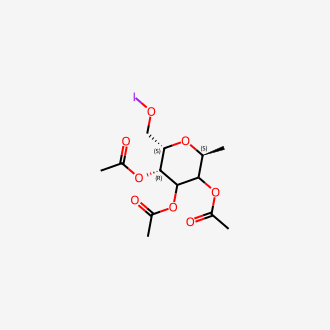 CC(=O)OC1C(OC(C)=O)[C@H](OC(C)=O)[C@H](COI)O[C@H]1C